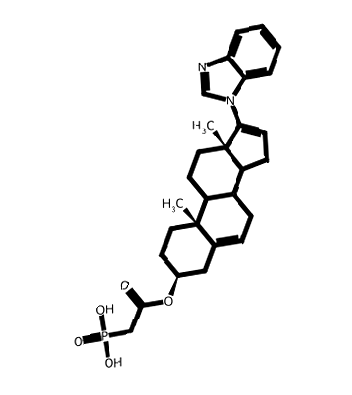 C[C@]12CC[C@H](OC(=O)CP(=O)(O)O)CC1=CCC1C2CC[C@]2(C)C(n3cnc4ccccc43)=CCC12